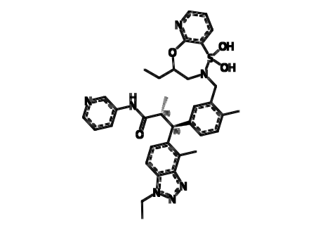 CCC1CN(Cc2cc([C@@H](c3ccc4c(nnn4CC)c3C)[C@@H](C)C(=O)Nc3cccnc3)ccc2C)S(O)(O)c2cccnc2O1